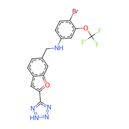 FC(F)(F)Oc1cc(NCc2ccc3cc(-c4nn[nH]n4)oc3c2)ccc1Br